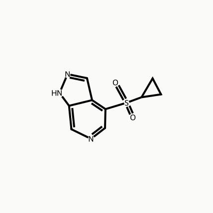 O=S(=O)(c1cncc2[nH]ncc12)C1CC1